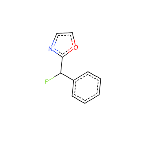 FC(c1ccccc1)c1ncco1